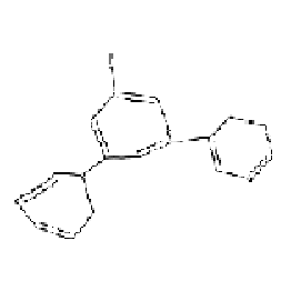 Ic1cc(C2=CC=CCC2)cc(C2C=CC=CC2)c1